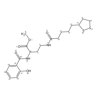 COC(=O)C(CCNC(=O)CCCCC1CCSS1)NC(=O)c1ccccc1O